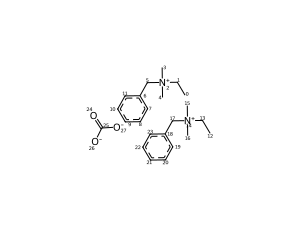 CC[N+](C)(C)Cc1ccccc1.CC[N+](C)(C)Cc1ccccc1.O=C([O-])[O-]